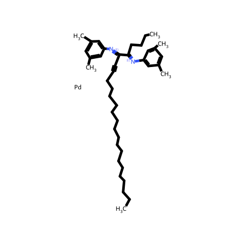 CCCCCCCCCCCCCCCCCC#CC(=N\c1cc(C)cc(C)c1)/C(CCCC)=N/c1cc(C)cc(C)c1.[Pd]